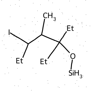 CCC(I)C(C)C(CC)(CC)O[SiH3]